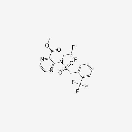 COC(=O)c1nccnc1N(CC(F)F)S(=O)(=O)Cc1ccccc1C(F)(F)F